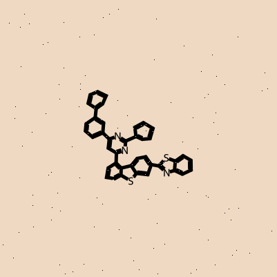 c1ccc(-c2cccc(-c3cc(-c4cccc5sc6cc(-c7nc8ccccc8s7)ccc6c45)nc(-c4ccccc4)n3)c2)cc1